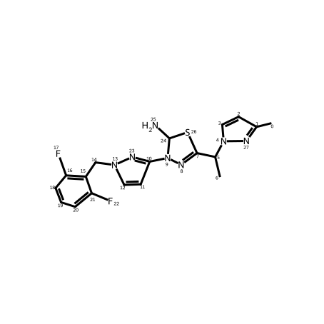 Cc1ccn(C(C)C2=NN(c3ccn(Cc4c(F)cccc4F)n3)C(N)S2)n1